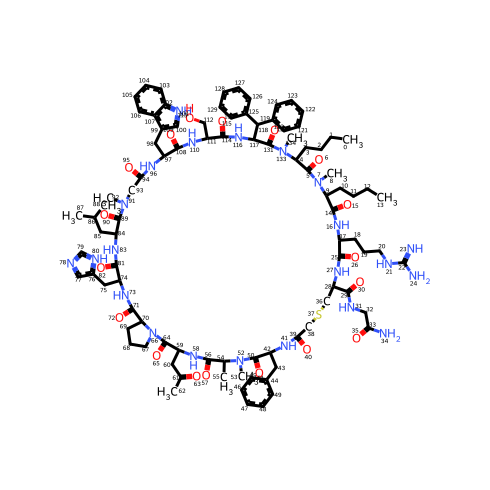 CCCCC1C(=O)N(C)C(CCCC)C(=O)NC(CCCNC(=N)N)C(=O)NC(C(=O)NCC(N)=O)CSCC(=O)NC(Cc2ccccc2)C(=O)N(C)C(C)C(=O)NC(CC(C)=O)C(=O)N2CCCC2C(=O)NC(Cc2cnc[nH]2)C(=O)NC(CC(C)C)C(=O)N(C)CC(=O)NC(Cc2c[nH]c3ccccc23)C(=O)NC(CO)C(=O)NC(C(c2ccccc2)c2ccccc2)C(=O)N1C